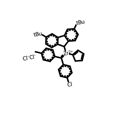 Cc1ccc(/[C](c2ccc(Cl)cc2)=[Zr+2](/[C]2=CC=CC2)[CH]2c3ccc(C(C)(C)C)cc3-c3cc(C(C)(C)C)ccc32)cc1.[Cl-].[Cl-]